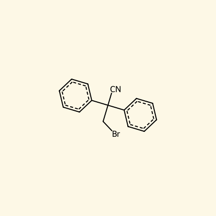 N#CC(CBr)(c1ccccc1)c1ccccc1